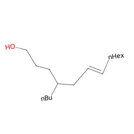 CCCCCC/C=C/CC(CCCC)CCCO